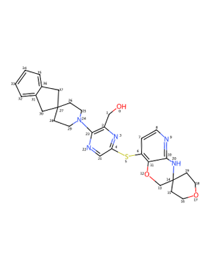 OCc1nc(Sc2ccnc3c2OCC2(CCOCC2)N3)cnc1N1CCC2(CC1)Cc1ccccc1C2